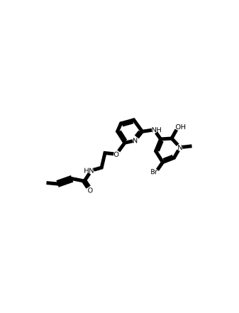 CC#CC(=O)NCCOc1cccc(NC2=CC(Br)=CN(C)C2O)n1